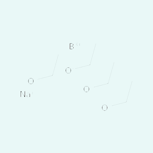 CC[O-].CC[O-].CC[O-].CC[O-].[B+3].[Na+]